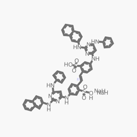 O=S(=O)(O)c1cc(Nc2cc(Nc3ccccc3)nc(Nc3ccc4ccccc4c3)n2)ccc1/C=C/c1ccc(Nc2cc(Nc3ccccc3)nc(Nc3ccc4ccccc4c3)n2)cc1S(=O)(=O)O.[NaH].[NaH]